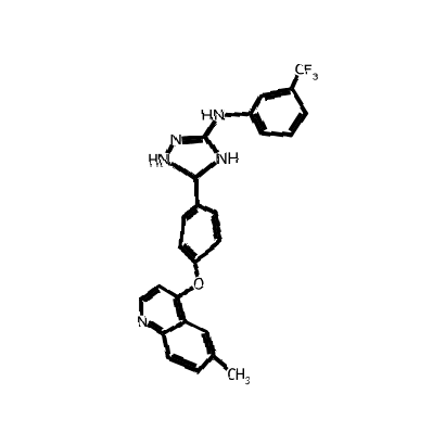 Cc1ccc2nccc(Oc3ccc(C4NN=C(Nc5cccc(C(F)(F)F)c5)N4)cc3)c2c1